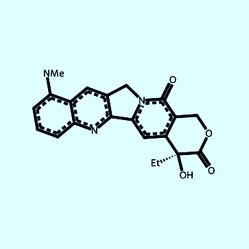 CC[C@@]1(O)C(=O)OCc2c1cc1n(c2=O)Cc2cc3c(NC)cccc3nc2-1